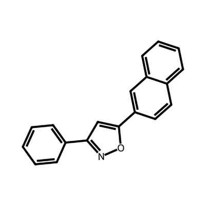 c1ccc(-c2cc(-c3ccc4ccccc4c3)on2)cc1